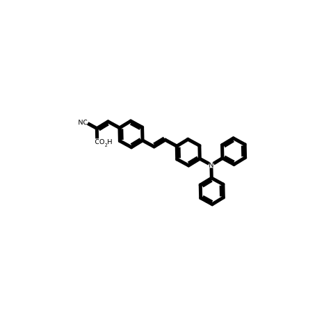 N#C/C(=C/c1ccc(/C=C/C2=CC=C(N(c3ccccc3)c3ccccc3)CC2)cc1)C(=O)O